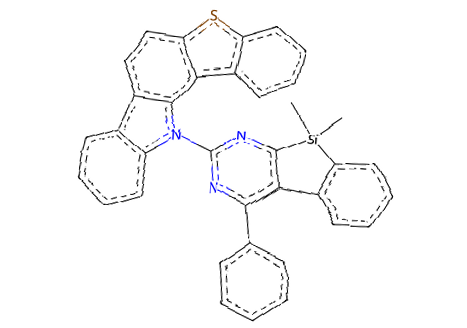 C[Si]1(C)c2ccccc2-c2c(-c3ccccc3)nc(-n3c4ccccc4c4ccc5sc6ccccc6c5c43)nc21